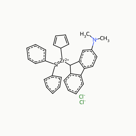 CN(C)c1ccc2c(c1)[CH]([Zr+2]([CH]1C=CC=C1)=[Si](c1ccccc1)c1ccccc1)c1ccccc1-2.[Cl-].[Cl-]